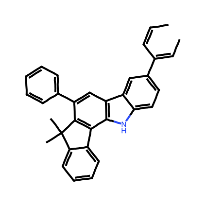 C/C=C\C(=C/C)c1ccc2[nH]c3c4c(c(-c5ccccc5)cc3c2c1)C(C)(C)c1ccccc1-4